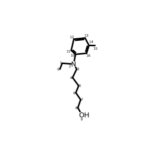 CCN(CCCCCCO)c1cccc(C)c1